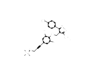 C[Si](C)(C)OCC#Cc1cc(F)c(OCc2c(-c3ccc(Cl)cc3)nsc2C(F)(F)F)c(F)c1